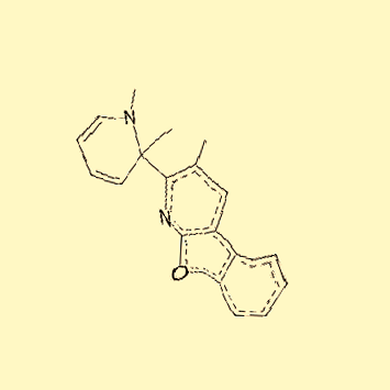 Cc1cc2c(nc1C1(C)C=CC=CN1C)oc1ccccc12